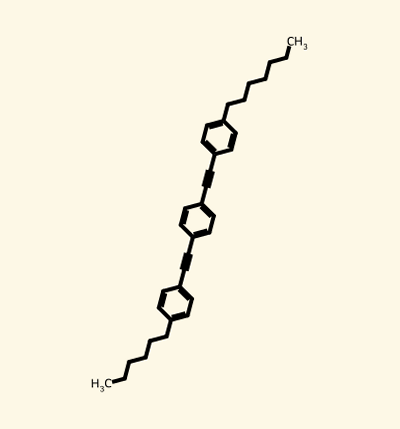 CCCCCCCc1ccc(C#Cc2ccc(C#Cc3ccc(CCCCCC)cc3)cc2)cc1